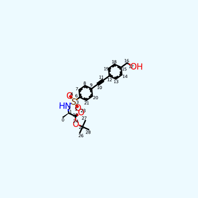 C[C@@H](NS(=O)(=O)c1ccc(C#Cc2ccc(CO)cc2)cc1)C(=O)OC(C)(C)C